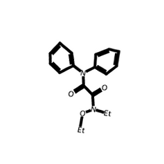 CCON(CC)C(=O)C(=O)N(c1ccccc1)c1ccccc1